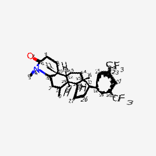 CC1CC2N(C)C(=O)CC[C@]2(C)[C@@H]2CC[C@]3(C)C(c4cc(C(F)(F)F)cc(C(F)(F)F)c4)CC[C@H]3[C@H]12